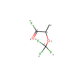 CC(OC(F)(F)F)C(=O)F